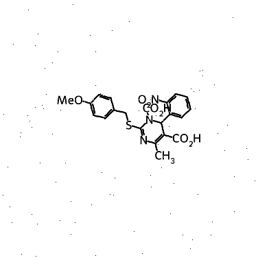 COc1ccc(CSC2=NC(C)=C(C(=O)O)C(c3ccccc3[N+](=O)[O-])N2C(=O)O)cc1